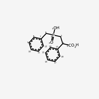 O=C(O)C(CP(=O)(O)Cc1ccccc1)c1ccccc1